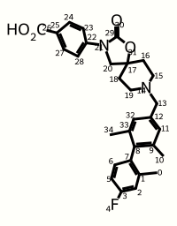 Cc1cc(F)ccc1-c1c(C)cc(CN2CCC3(CC2)CN(c2ccc(C(=O)O)cc2)C(=O)O3)cc1C